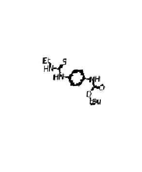 CCNC(=S)Nc1ccc(NC(=O)OC(C)(C)C)cc1